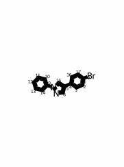 Brc1ccc(-c2cnn(-c3ccccc3)c2)cc1